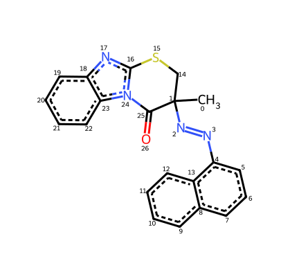 CC1(N=Nc2cccc3ccccc23)CSc2nc3ccccc3n2C1=O